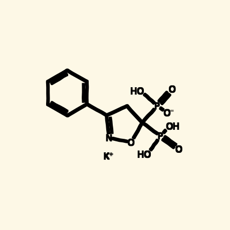 O=P([O-])(O)C1(P(=O)(O)O)CC(c2ccccc2)=NO1.[K+]